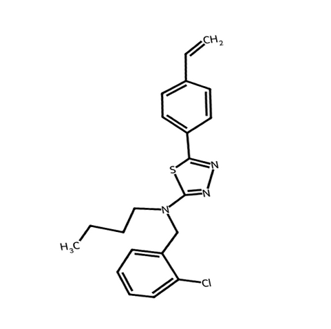 C=Cc1ccc(-c2nnc(N(CCCC)Cc3ccccc3Cl)s2)cc1